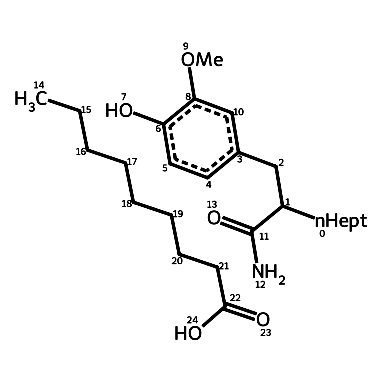 CCCCCCCC(Cc1ccc(O)c(OC)c1)C(N)=O.CCCCCCCCC(=O)O